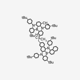 Cc1ccc2c3c1N(c1ccc(C(C)(C)C)cc1)c1ccc(C(C)(C)Cc4ccc5c6c7c(cc5c4)N(c4ccc(C(C)(C)C)cc4)c4ccc(C(C)(C)C)cc4B7c4ccc5ccccc5c4N6c4ccc(C(C)(C)C)cc4)cc1B3c1cc(C(C)(C)C)ccc1N2c1ccc(C(C)(C)C)cc1